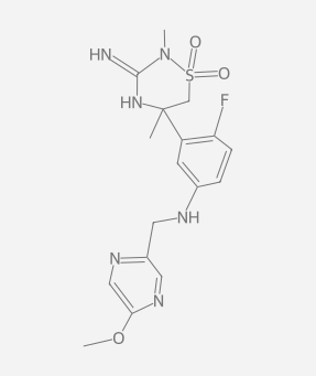 COc1cnc(CNc2ccc(F)c(C3(C)CS(=O)(=O)N(C)C(=N)N3)c2)cn1